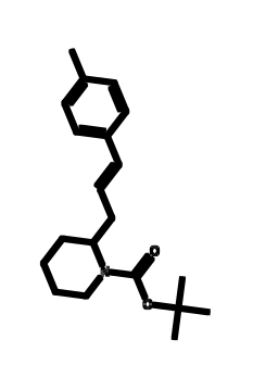 Cc1ccc(C=CCC2CCCCN2C(=O)OC(C)(C)C)cc1